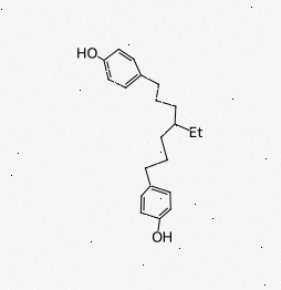 CCC(CCCc1ccc(O)cc1)CCCc1ccc(O)cc1